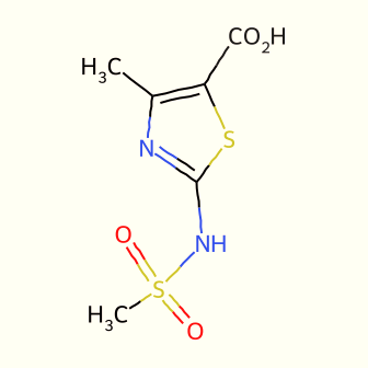 Cc1nc(NS(C)(=O)=O)sc1C(=O)O